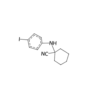 N#CC1(Nc2ccc(I)cc2)CCCCC1